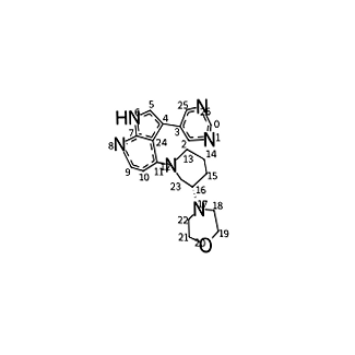 c1ncc(-c2c[nH]c3nccc(N4CCC[C@H](N5CCOCC5)C4)c23)cn1